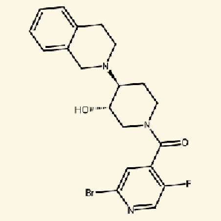 O=C(c1cc(Br)ncc1F)N1CC[C@H](N2CCc3ccccc3C2)[C@@H](O)C1